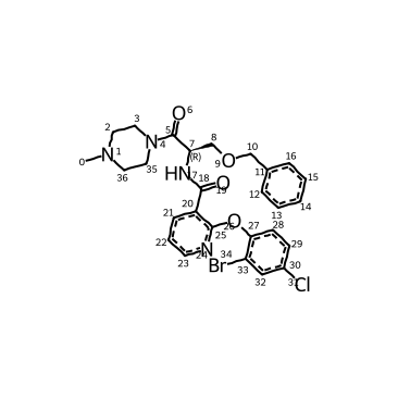 CN1CCN(C(=O)[C@@H](COCc2ccccc2)NC(=O)c2cccnc2Oc2ccc(Cl)cc2Br)CC1